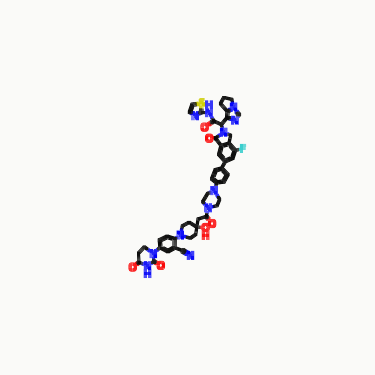 N#Cc1cc(N2CCC(=O)NC2=O)ccc1N1CCC(O)(CC(=O)N2CCN(c3ccc(-c4cc(F)c5c(c4)C(=O)N(C(C(=O)Nc4nccs4)c4ncn6c4CCC6)C5)cc3)CC2)CC1